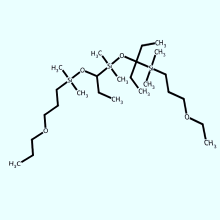 CCCOCCC[Si](C)(C)OC(CC)[Si](C)(C)OC(CC)(CC)[Si](C)(C)CCCOCC